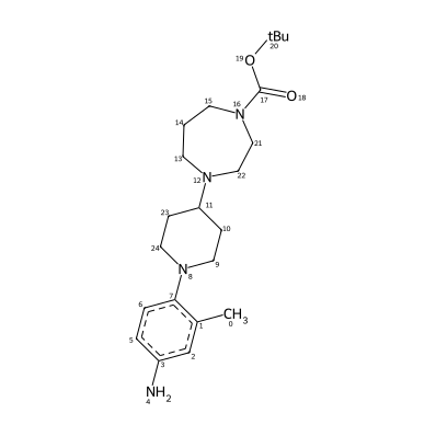 Cc1cc(N)ccc1N1CCC(N2CCCN(C(=O)OC(C)(C)C)CC2)CC1